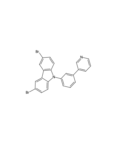 Brc1ccc2c(c1)c1cc(Br)ccc1n2-c1cccc(-c2cccnc2)c1